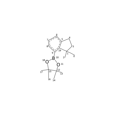 CC1(C)CCc2cccc(B3OC(C)(C)C(C)(C)O3)c21